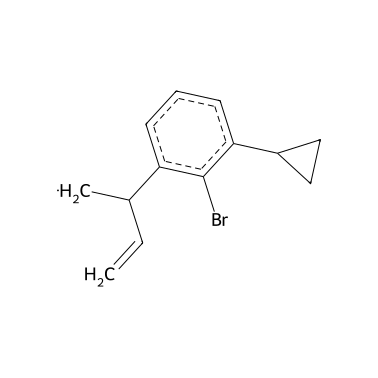 [CH2]C(C=C)c1cccc(C2CC2)c1Br